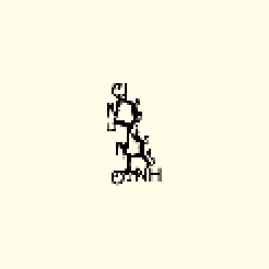 O=C1NCc2cn(-c3ccc(Cl)nc3)nc21